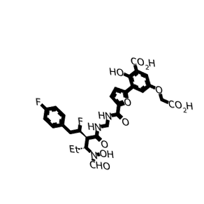 CC[C@H]([C@H](C(=O)NCNC(=O)c1ccc(-c2cc(OCC(=O)O)cc(C(=O)O)c2O)o1)C(F)Cc1ccc(F)cc1)N(O)C=O